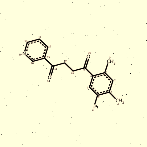 Cc1cc(C)c(C(C)C)cc1C(=O)CCC(=O)c1cccnc1